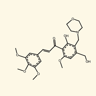 COc1cc(/C=C/C(=O)c2c(OC)cc(CO)c(CN3CCOCC3)c2O)cc(OC)c1OC